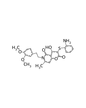 COc1ccc(CCn2c(C)cc3oc(=O)c(Sc4ccccc4N)c(O)c3c2=O)cc1OC